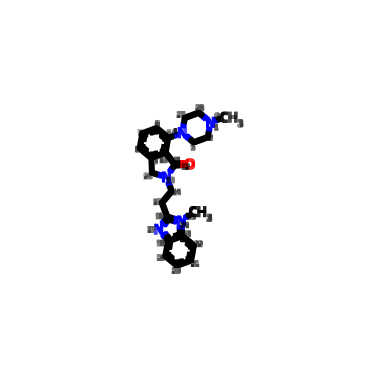 CN1CCN(c2cccc3c2C(=O)N(CCc2nc4ccccc4n2C)C3)CC1